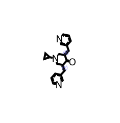 O=C1/C(=C/c2cccnc2)CN(C2CC2)C/C1=C\c1cccnc1